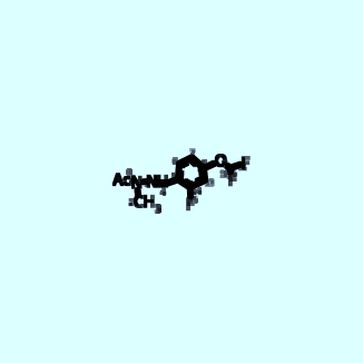 CC(=O)N(C)NCc1ccc(OC(F)F)cc1F